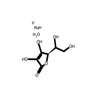 O.O=C1O[C@H](C(O)CO)C(O)=C1O.[NaH].[V]